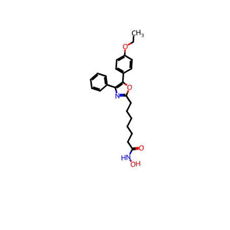 CCOc1ccc(-c2oc(CCCCCCC(=O)NO)nc2-c2ccccc2)cc1